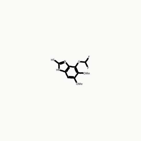 COc1cc2[nH]c(S)nc2c(OC(F)F)c1OC